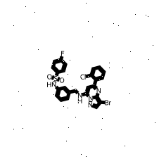 O=S(=O)(Nc1cccc(CNc2cc(-c3ccccc3Cl)nc3c(Br)cnn23)c1)c1ccc(F)cc1